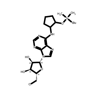 CC(C)(C)[Si](C)(C)OC1CCCC1Nc1ncnc2c1ncn2[C@@H]1O[C@H](CCl)[C@@H](O)[C@H]1O